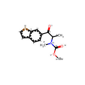 CC(C(=O)c1ccc2ccsc2c1)N(C)C(=O)OC(C)(C)C